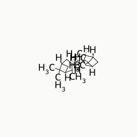 C[C@@H]1[C@H]([B][C@@H]2C[C@@H]3C[C@@H]([C@@H]2C)C3(C)C)C[C@@H]2C[C@@H]1C2(C)C